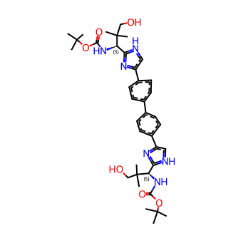 CC(C)(C)OC(=O)N[C@H](c1nc(-c2ccc(-c3ccc(-c4c[nH]c([C@@H](NC(=O)OC(C)(C)C)C(C)(C)CO)n4)cc3)cc2)c[nH]1)C(C)(C)CO